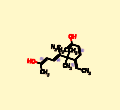 C=C(O)/C=C\C(=C/C)C(C)(C)/C(C)=C/C=C(\C)O